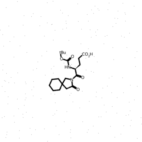 CC(C)(C)OC(=O)N[C@@H](CCC(=O)O)C(=O)N1CC2(CCCCC2)CC1=O